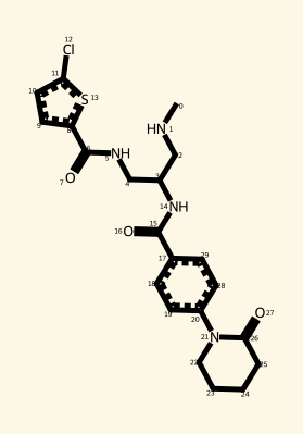 CNCC(CNC(=O)c1ccc(Cl)s1)NC(=O)c1ccc(N2CCCCC2=O)cc1